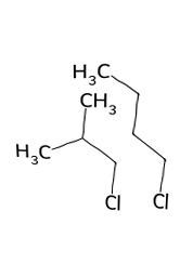 CC(C)CCl.CCCCCl